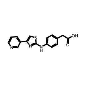 O=C(O)Cc1ccc(Nc2nc(-c3cccnc3)cs2)cc1